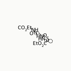 CCOC(=O)CNC(=O)N1CCC(CNC(=O)Nc2sc3c(c2C(=O)OCC)CCCC3)CC1